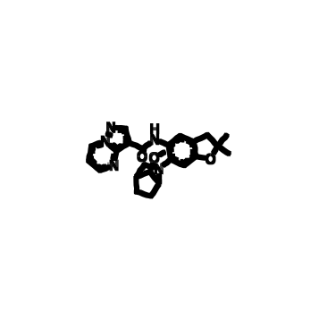 COC1C2CCC1N(c1cc3c(cc1NC(=O)c1cnn4cccnc14)CC(C)(C)O3)C2